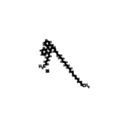 CCCCCCCCCCCCCCCCCCCCCC=CC(=Nc1ccccc1)C(CCCCCCCC)=Nc1ccccc1.[Ni]